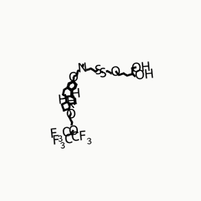 CN(CCCSSCCOCCCC(CO)CO)CCOc1ccc2c(c1)CC[C@@H]1[C@@H]2CC[C@]2(C)[C@@H](OCCCOC(C(F)(F)F)(C(F)(F)F)C(F)(F)F)CC[C@@H]12